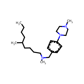 CCCCC(C)CCCCN(C)Cc1ccc(N2CCN(C)CC2)cc1